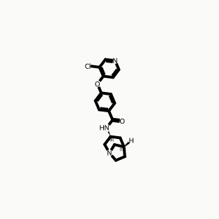 O=C(N[C@@H]1C[C@@H]2CCN(C2)C1)c1ccc(Oc2ccncc2Cl)cc1